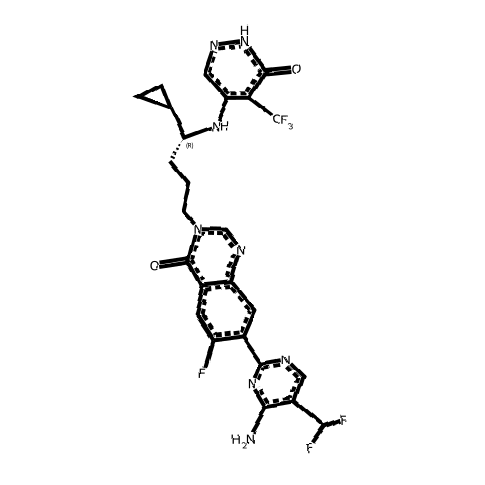 Nc1nc(-c2cc3ncn(CCC[C@@H](Nc4cn[nH]c(=O)c4C(F)(F)F)C4CC4)c(=O)c3cc2F)ncc1C(F)F